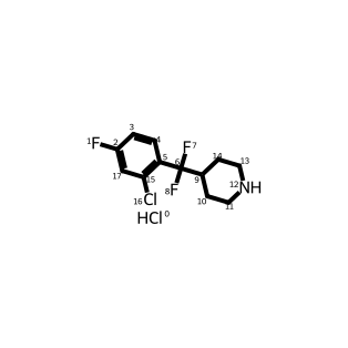 Cl.Fc1ccc(C(F)(F)C2CCNCC2)c(Cl)c1